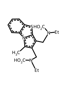 CCN(Cc1c(CN(CC)C(=O)O)c2sc3ccccc3n2c1C)C(=O)O